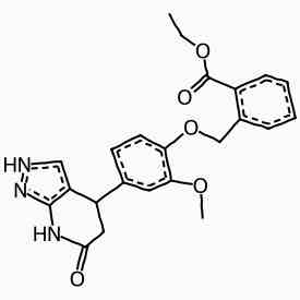 CCOC(=O)c1ccccc1COc1ccc(C2CC(=O)Nc3n[nH]cc32)cc1OC